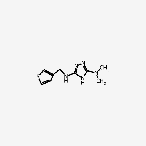 CN(C)c1nnc(NCc2ccsc2)[nH]1